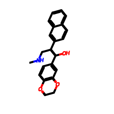 CNCC(c1ccc2ccccc2c1)C(O)c1ccc2c(c1)OCCO2